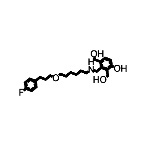 OCc1ccc(O)c(CO)c1CNCCCCCCOCCCc1ccc(F)cc1